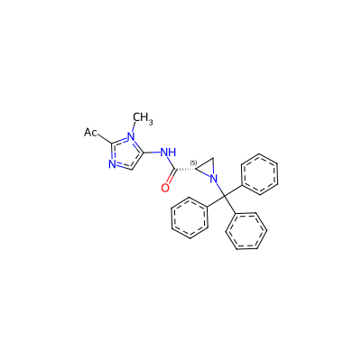 CC(=O)c1ncc(NC(=O)[C@@H]2CN2C(c2ccccc2)(c2ccccc2)c2ccccc2)n1C